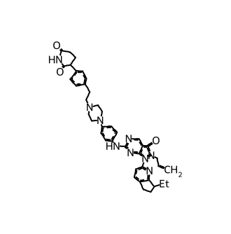 C=CCn1c(=O)c2cnc(Nc3ccc(N4CCN(CCc5ccc(C6CCC(=O)NC6=O)cc5)CC4)cc3)nc2n1-c1ccc2c(n1)C(CC)CC2